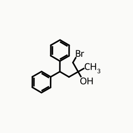 CC(O)(CBr)CC(c1ccccc1)c1ccccc1